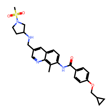 Cc1c(NC(=O)c2ccc(OCC3CC3)cc2)ccc2cc(CNC3CCN(S(C)(=O)=O)C3)cnc12